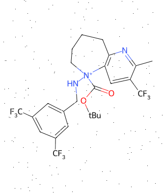 Cc1nc2c(cc1C(F)(F)F)[N+](NCc1cc(C(F)(F)F)cc(C(F)(F)F)c1)(C(=O)OC(C)(C)C)CCCC2